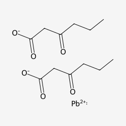 CCCC(=O)CC(=O)[O-].CCCC(=O)CC(=O)[O-].[Pb+2]